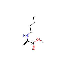 C=C(NCCCC)C(=O)OC